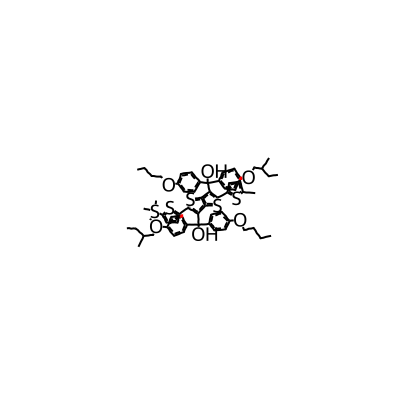 CCCCOc1ccc(C(O)(c2ccc(OCC(C)CC)cc2)c2c(-c3ccc(C)s3)sc3c(C(O)(c4ccc(OCCCC)cc4)c4ccc(OCC(C)CC)cc4)c(-c4ccc(S(C)(C)C)s4)sc23)cc1